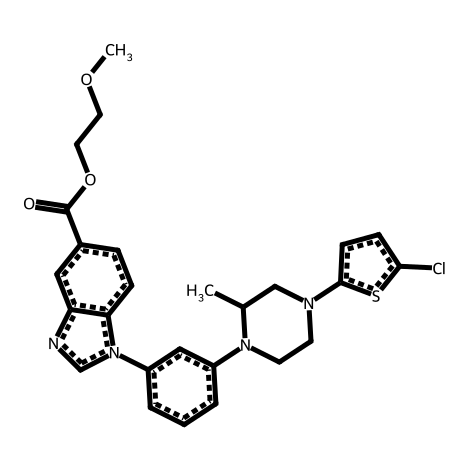 COCCOC(=O)c1ccc2c(c1)ncn2-c1cccc(N2CCN(c3ccc(Cl)s3)CC2C)c1